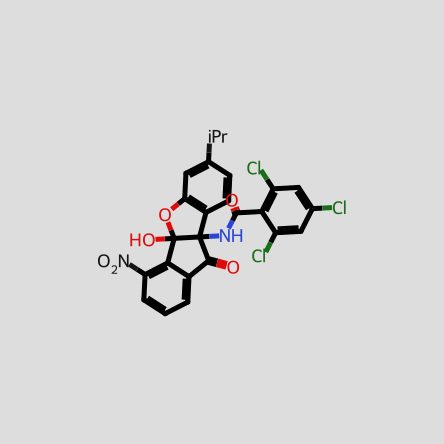 CC(C)c1ccc2c(c1)OC1(O)c3c(cccc3[N+](=O)[O-])C(=O)C21NC(=O)c1c(Cl)cc(Cl)cc1Cl